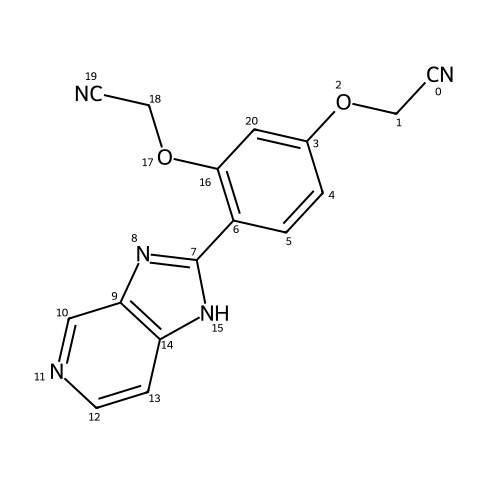 N#CCOc1ccc(-c2nc3cnccc3[nH]2)c(OCC#N)c1